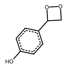 Oc1ccc(C2COO2)cc1